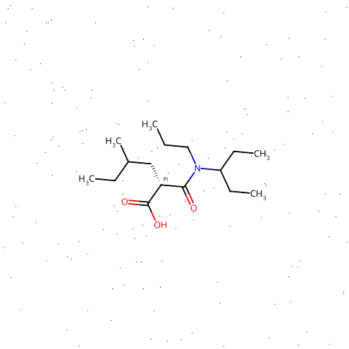 CCCN(C(=O)[C@@H](CC(C)CC)C(=O)O)C(CC)CC